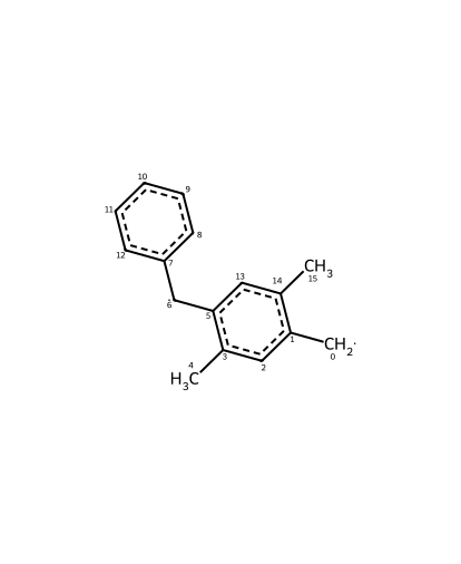 [CH2]c1cc(C)c([CH]c2ccccc2)cc1C